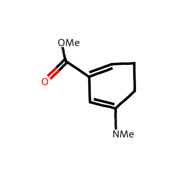 CNC1=CC(C(=O)OC)=CCC1